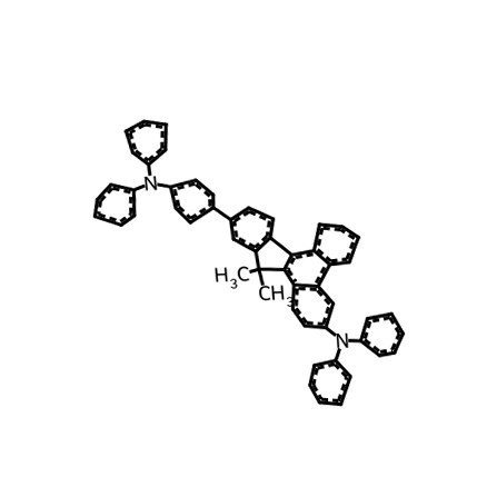 CC1(C)c2cc(-c3ccc(N(c4ccccc4)c4ccccc4)cc3)ccc2-c2c1c1ccc(N(c3ccccc3)c3ccccc3)cc1c1ccccc21